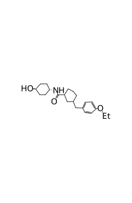 CCOc1ccc(CC2CCCC(C(=O)N[C@H]3CC[C@H](O)CC3)C2)cc1